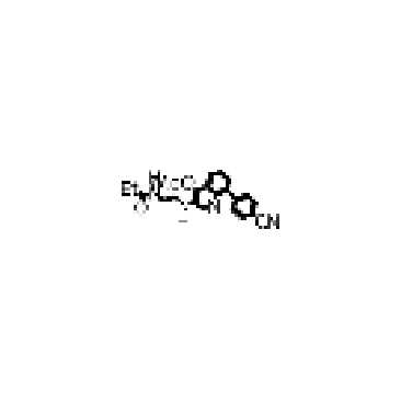 CCC(=O)NCCNc1cnc2c(-c3ccc(C#N)cc3)cccc2c1OC